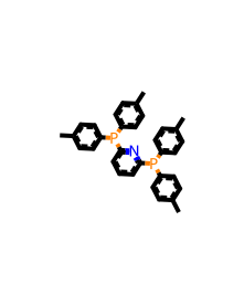 Cc1ccc(P(c2ccc(C)cc2)c2cccc(P(c3ccc(C)cc3)c3ccc(C)cc3)n2)cc1